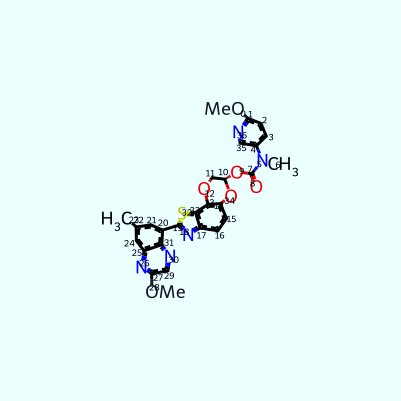 COc1ccc(N(C)C(=O)O[C@@H]2COc3c(ccc4nc(-c5cc(C)cc6nc(OC)cnc56)sc34)O2)cn1